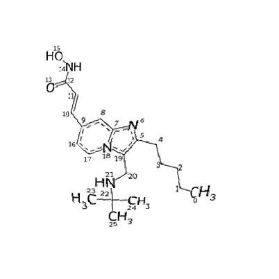 CCCCCc1nc2cc(C=CC(=O)NO)ccn2c1CNC(C)(C)C